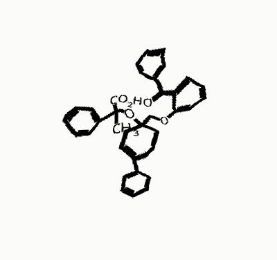 CC(OC1(COc2ccccc2C(=O)c2ccccc2)C=CC(c2ccccc2)=CC1)(C(=O)O)c1ccccc1